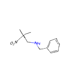 CC(C)(CNCc1ccccc1)[N+](=O)[O-]